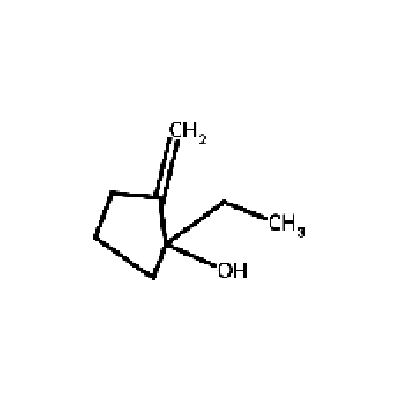 C=C1CCCC1(O)CC